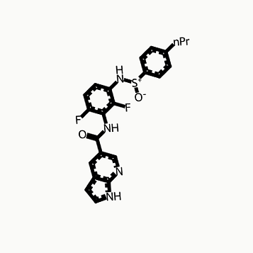 CCCc1ccc([S+]([O-])Nc2ccc(F)c(NC(=O)c3cnc4[nH]ccc4c3)c2F)cc1